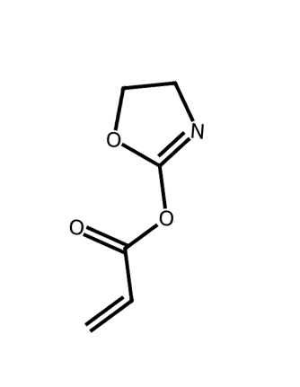 C=CC(=O)OC1=NCCO1